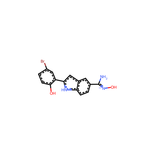 N/C(=N\O)c1ccc2[nH]c(-c3cc(Br)ccc3O)cc2c1